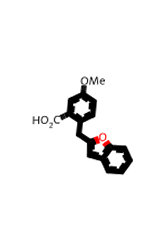 COc1ccc(Cc2cc3ccccc3o2)c(C(=O)O)c1